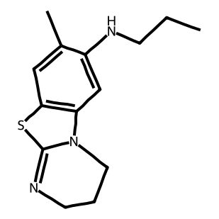 CCCNc1cc2c(cc1C)SC1=NCCCN12